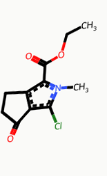 CCOC(=O)c1c2c(c(Cl)n1C)C(=O)CC2